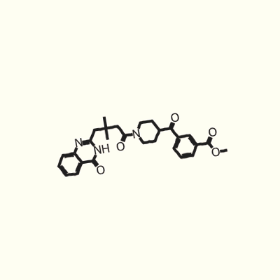 COC(=O)c1cccc(C(=O)C2CCN(C(=O)CC(C)(C)Cc3nc4ccccc4c(=O)[nH]3)CC2)c1